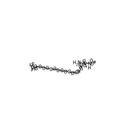 CCON(CCCNC(=O)OC1CCC1)C(=O)C1=Cc2sc(CN3CCN(CCOCCOCCOCCOCCOCCOCCOCCOCCOCCOCCC(=O)Oc4c(F)c(F)cc(F)c4F)CC3)cc2N=C(N)C1